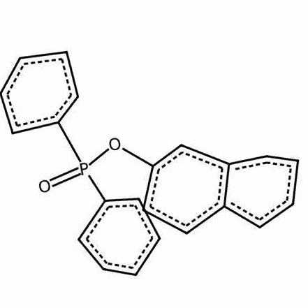 O=P(Oc1ccc2ccccc2c1)(c1ccccc1)c1ccccc1